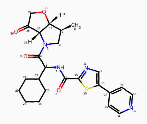 C[C@H]1CN(C(=O)[C@@H](NC(=O)c2ncc(-c3ccncc3)s2)C2CCCCC2)[C@@H]2C(=O)CO[C@@H]21